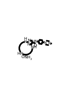 CN1CCN(c2ccc(NC(=O)c3cnc4nc3NCCCC[C@H](N)C(=O)NCCCCCCN4)cc2)CC1